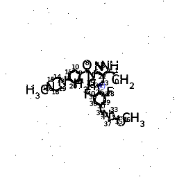 C=Cc1[nH]nc(NC(=O)c2ccc(N3CCN(C)CC3)cc2)c1/C=C(\C)c1c(F)cc(CN2CC(OC)C2)cc1F